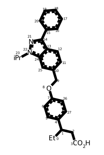 CCC(CC(=O)O)c1ccc(OCc2ccc3c(-c4ccccc4)nn(C(C)C)c3c2)cc1